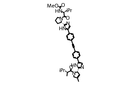 COC(=O)N[C@H](C(=O)N1CCC[C@H]1c1ncc(-c2ccc(C#Cc3ccc(-c4cnc([C@@H]5C=C(C)CN5C(=O)[C@@H](C)C(C)C)[nH]4)cc3)cc2)[nH]1)C(C)C